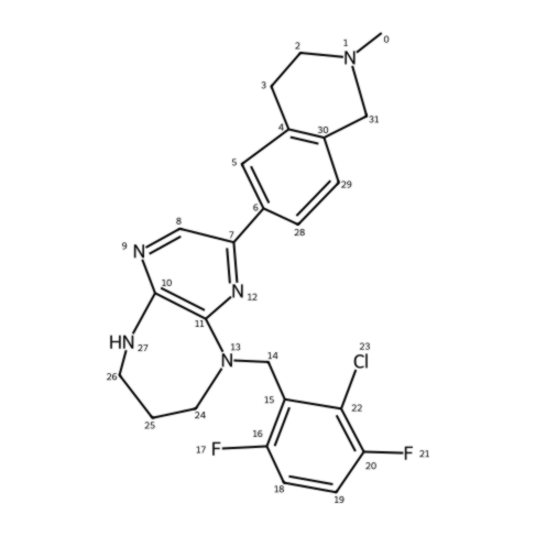 CN1CCc2cc(-c3cnc4c(n3)N(Cc3c(F)ccc(F)c3Cl)CCCN4)ccc2C1